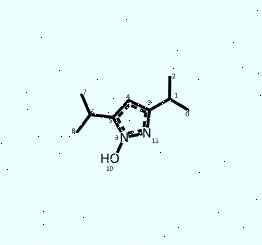 CC(C)c1cc(C(C)C)n(O)n1